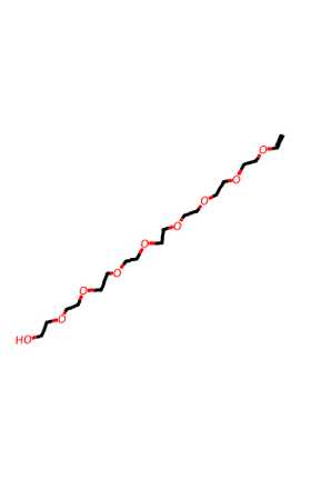 C=COCCOCCOCCOCCOCCOCCOCCOCCO